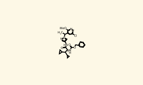 COc1nnc(Cl)cc1C(C)n1cc(NC(=O)[C@@H](NC(=O)OCc2ccccc2)C(C2CC2)C2CC2)cn1